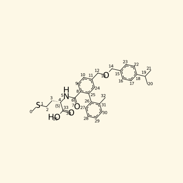 CSCC[C@H](NC(=O)c1ccc(COCc2ccc(C(C)C)cc2)cc1-c1ccccc1C)C(=O)O